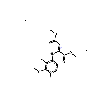 COC(=O)/C=C(\Nc1ccc(C)c(OC)c1C)C(=O)OC